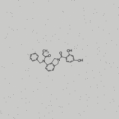 C=CC(=O)N(Cc1ccccc1)c1cccc2c1CN(C(=O)c1ccc(O)cc1O)C2